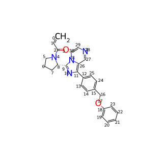 C=CC(=O)N1CCC[C@H]1c1nc(-c2ccc(COc3ccccc3)cc2)c2cnccn12